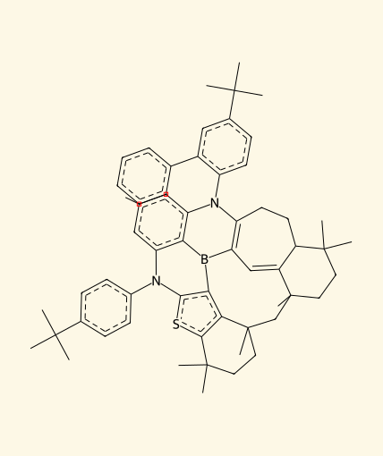 Cc1cc2c3c(c1)N(c1ccc(C(C)(C)C)cc1)c1sc4c5c1B3C1=C(CCC3C(=C1)C(C)(CCC3(C)C)CC5(C)CCC4(C)C)N2c1ccc(C(C)(C)C)cc1-c1ccccc1